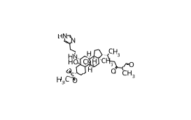 CC(C=O)C(=O)CCC(C)[C@H]1CC[C@H]2[C@@H]3C[C@@H](NCCc4c[nH]cn4)[C@@]4(O)C[C@@H](S(C)(=O)=O)CC[C@]4(C)[C@H]3CC[C@]12C